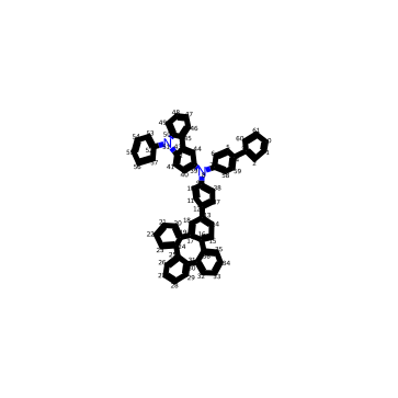 c1ccc(-c2ccc(N(c3ccc(-c4ccc5c(c4)-c4ccccc4-c4ccccc4-c4ccccc4-5)cc3)c3ccc4c(c3)c3ccccc3n4-c3ccccc3)cc2)cc1